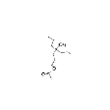 CCCC(O)(CCC)CCCOC(C)=O